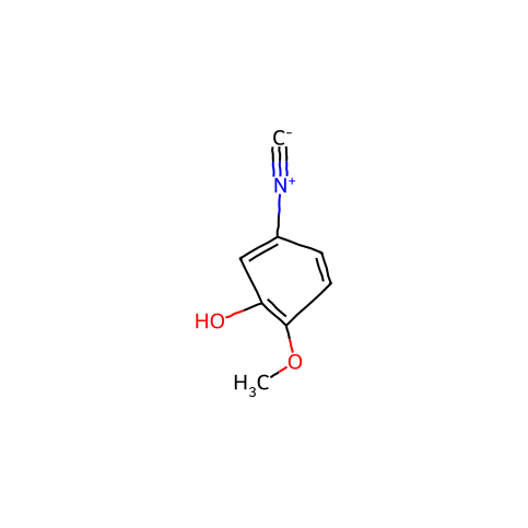 [C-]#[N+]c1ccc(OC)c(O)c1